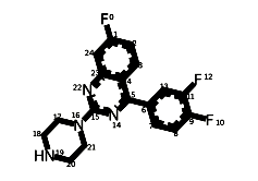 Fc1ccc2c(-c3ccc(F)c(F)c3)nc(N3CCNCC3)nc2c1